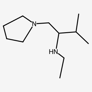 CCNC(CN1CCCC1)C(C)C